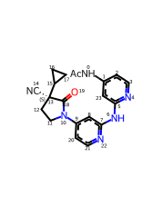 CC(=O)Nc1ccnc(Nc2cc(N3CC[C@@](C#N)(C4CC4)C3=O)ccn2)c1